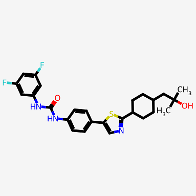 CC(C)(O)CC1CCC(c2ncc(-c3ccc(NC(=O)Nc4cc(F)cc(F)c4)cc3)s2)CC1